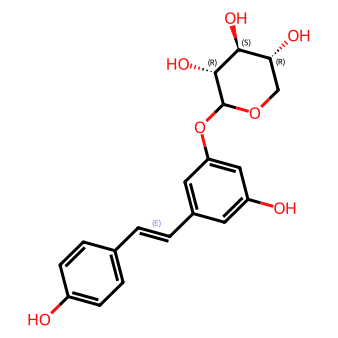 Oc1ccc(/C=C/c2cc(O)cc(OC3OC[C@@H](O)[C@H](O)[C@H]3O)c2)cc1